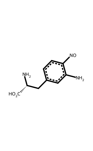 Nc1cc(C[C@@H](N)C(=O)O)ccc1N=O